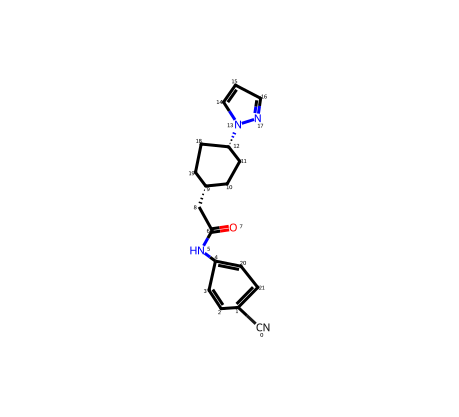 N#Cc1ccc(NC(=O)C[C@H]2CC[C@@H](n3cccn3)CC2)cc1